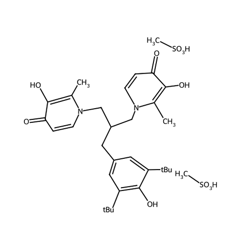 CS(=O)(=O)O.CS(=O)(=O)O.Cc1c(O)c(=O)ccn1CC(Cc1cc(C(C)(C)C)c(O)c(C(C)(C)C)c1)Cn1ccc(=O)c(O)c1C